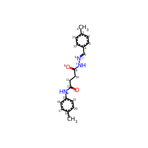 Cc1ccc(/C=N/NC(=O)CCC(=O)Nc2ccc(C)cc2)cc1